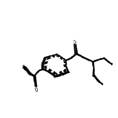 CCC(CC)C(=O)c1ccc(C(C)=O)cc1